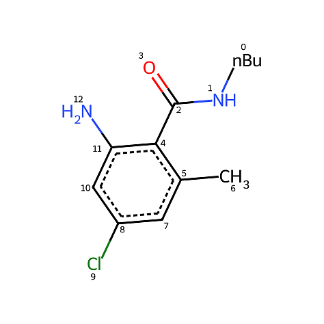 CCCCNC(=O)c1c(C)cc(Cl)cc1N